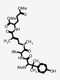 CNC(C(=O)NC(C(=O)N(C)C/C=C(\C)C(=O)NC(CCC(=O)OC)C(=O)OC)C(C)(C)C)C(C)(C)c1ccc(O)cc1